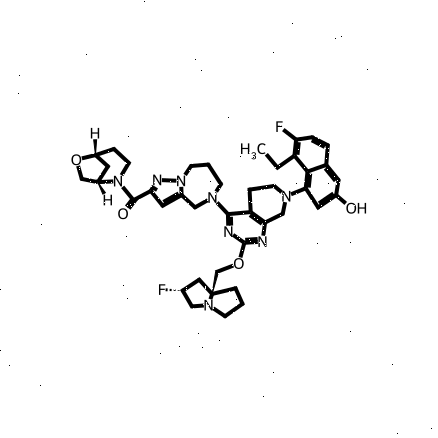 CCc1c(F)ccc2cc(O)cc(N3CCc4c(nc(OC[C@@]56CCCN5C[C@H](F)C6)nc4N4CCCn5nc(C(=O)N6CC[C@@H]7C[C@H]6CO7)cc5C4)C3)c12